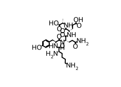 C[C@H](NC(=O)[C@H](CCC(=O)O)NC(=O)[C@H](CCC(N)=O)NC(=O)[C@H](Cc1ccc(O)cc1)NC(=O)[C@@H](N)CCCCN)C(=O)O